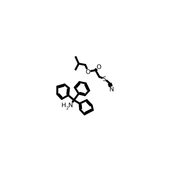 CC(C)COC(=O)CSC#N.NC(c1ccccc1)(c1ccccc1)c1ccccc1